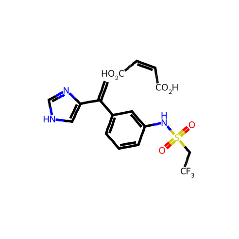 C=C(c1cccc(NS(=O)(=O)CC(F)(F)F)c1)c1c[nH]cn1.O=C(O)/C=C\C(=O)O